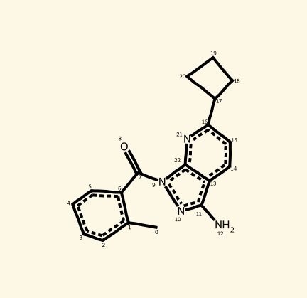 Cc1ccccc1C(=O)n1nc(N)c2ccc(C3CCC3)nc21